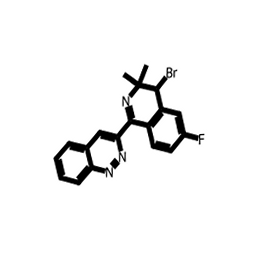 CC1(C)N=C(c2cc3ccccc3nn2)c2ccc(F)cc2C1Br